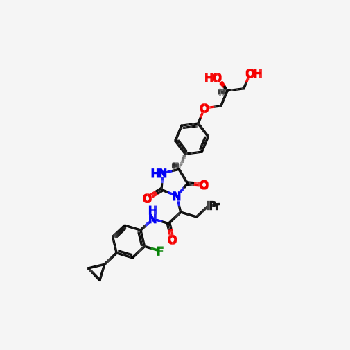 CC(C)CC(C(=O)Nc1ccc(C2CC2)cc1F)N1C(=O)N[C@H](c2ccc(OC[C@@H](O)CO)cc2)C1=O